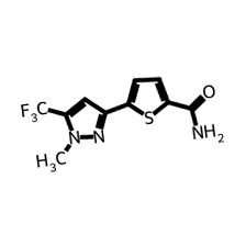 Cn1nc(-c2ccc(C(N)=O)s2)cc1C(F)(F)F